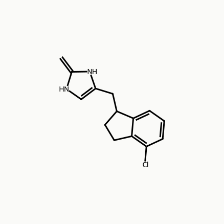 C=C1NC=C(CC2CCc3c(Cl)cccc32)N1